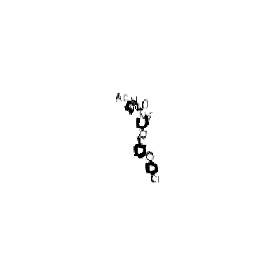 CC(=O)c1ccn(C(=O)N2CC[C@H](OCc3cccc(Oc4ccc(Cl)cc4)c3)C[C@H]2C)n1